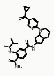 CC(C)[C@H](C)Nc1cc(C(=O)NC2CC3CCCN(c4ccc(C(=O)C5CC5)cn4)C3C2)ccc1C(N)=O